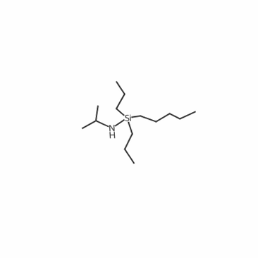 CCCCC[Si](CCC)(CCC)NC(C)C